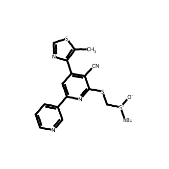 CCCC[S+]([O-])CSc1nc(-c2cccnc2)cc(-c2ncsc2C)c1C#N